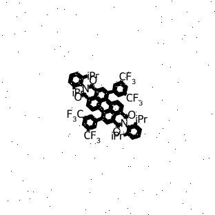 CC(C)c1cccc(C(C)C)c1N1C(=O)c2ccc3c4c(-c5cc(C(F)(F)F)cc(C(F)(F)F)c5)cc5c6c(ccc(c7c(-c8cc(C(F)(F)F)cc(C(F)(F)F)c8)cc(c2c37)C1=O)c64)C(=O)N(c1c(C(C)C)cccc1C(C)C)C5=O